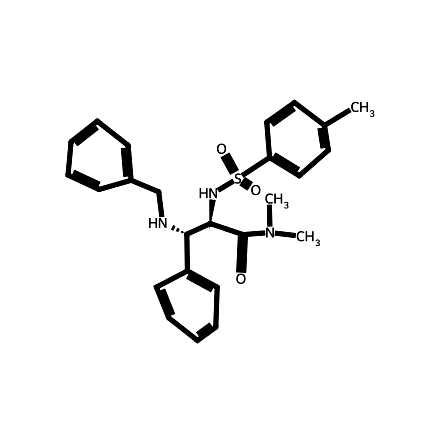 Cc1ccc(S(=O)(=O)N[C@@H](C(=O)N(C)C)[C@@H](NCc2ccccc2)c2ccccc2)cc1